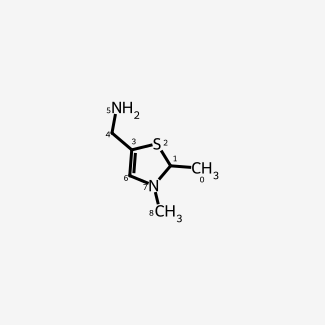 CC1SC(CN)=CN1C